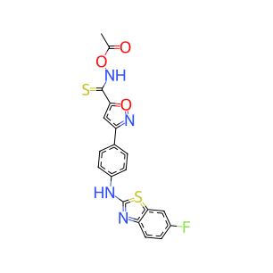 CC(=O)ONC(=S)c1cc(-c2ccc(Nc3nc4ccc(F)cc4s3)cc2)no1